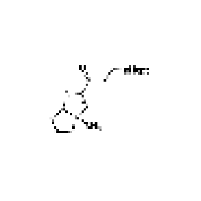 CCCCCCCCCC(=O)C1=CC2(C)CSCC2S1